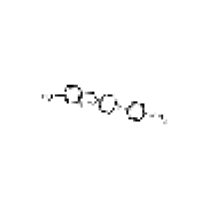 Cc1ccc(C[N+]2(C)CCN(c3ccc(C)cc3)CC2)cc1